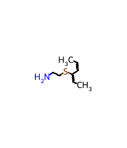 C/C=C\C(=C/C)SCCN